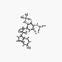 [2H]C([2H])([2H])Oc1nc(CC(F)F)c(F)cc1NS(=O)(=O)c1cnn2cc(Cl)ccc12